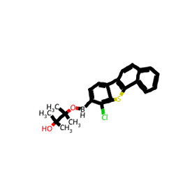 CC(C)(O)C(C)(C)OBc1ccc2c(sc3c4ccccc4ccc23)c1Cl